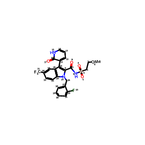 COCCS(=O)(=O)NC(=O)c1c(-c2ccc[nH]c2=O)c2cc(C(F)(F)F)ccc2n1Cc1ccccc1F